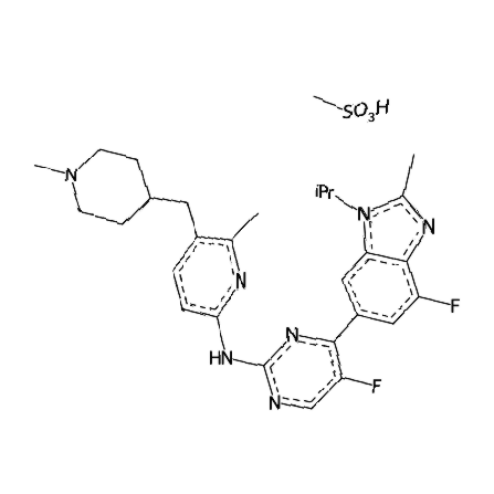 CS(=O)(=O)O.Cc1nc(Nc2ncc(F)c(-c3cc(F)c4nc(C)n(C(C)C)c4c3)n2)ccc1CC1CCN(C)CC1